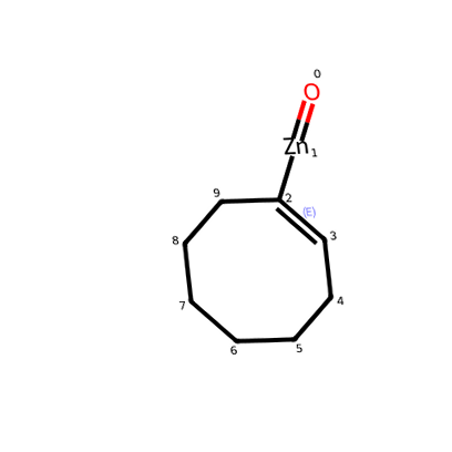 [O]=[Zn]/[C]1=C/CCCCCC1